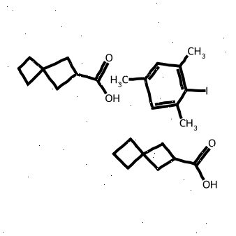 Cc1cc(C)c(I)c(C)c1.O=C(O)C1CC2(CCC2)C1.O=C(O)C1CC2(CCC2)C1